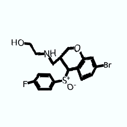 [O-][S+](c1ccc(F)cc1)C1c2ccc(Br)cc2OCC1CNCCO